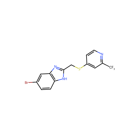 FC(F)(F)c1cc(SCc2nc3cc(Br)ccc3[nH]2)ccn1